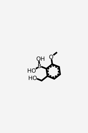 COc1cccc(CO)c1B(O)O